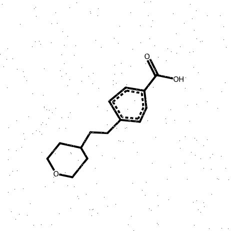 O=C(O)c1ccc(CCC2CCOCC2)cc1